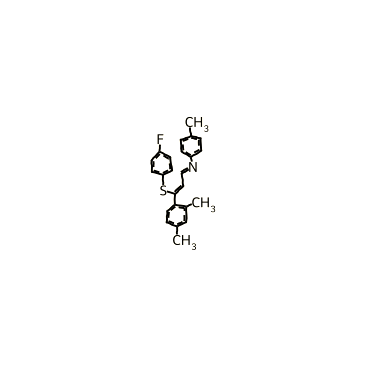 Cc1ccc(N=CC=C(Sc2ccc(F)cc2)c2ccc(C)cc2C)cc1